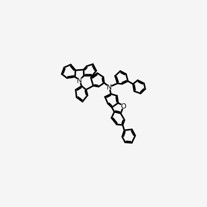 c1ccc(-c2cccc(N(c3cccc(-c4ccccc4-n4c5ccccc5c5ccccc54)c3)c3ccc4c(c3)oc3cc(-c5ccccc5)ccc34)c2)cc1